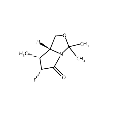 C[C@H]1[C@@H](F)C(=O)N2[C@H]1COC2(C)C